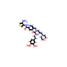 Nc1cscc1NC(=O)c1ccc(CN(CCCN2CCOCC2)C(=O)NCCc2ccc(O)c(O)c2)cn1